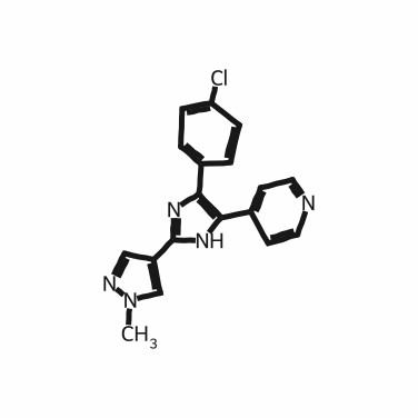 Cn1cc(-c2nc(-c3ccc(Cl)cc3)c(-c3ccncc3)[nH]2)cn1